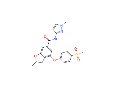 CC1Cc2c(Oc3ccc(S(C)(=O)=O)cc3)cc(C(=O)Nc3ccn(C)n3)cc2O1